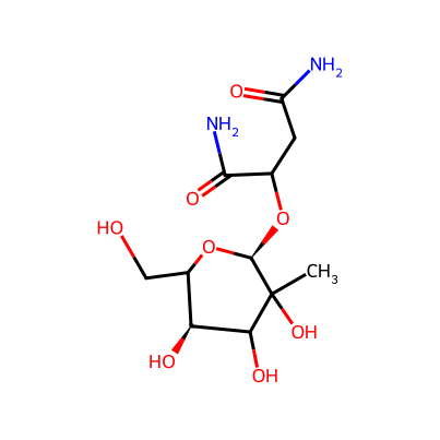 CC1(O)C(O)[C@@H](O)C(CO)O[C@H]1OC(CC(N)=O)C(N)=O